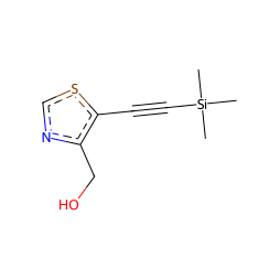 C[Si](C)(C)C#Cc1scnc1CO